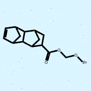 CC(C)OCOC(=O)C1CC2CC1C1C3C=CC(C3)C21